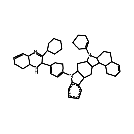 C1=CC2N=C(C3CCCCC3)C(C3=CC=C(N4c5ccccc5C5CC6C7C8CCC=CC8CCC7N(C7=CCCCC7)C6CC54)CC3)NC2CC1